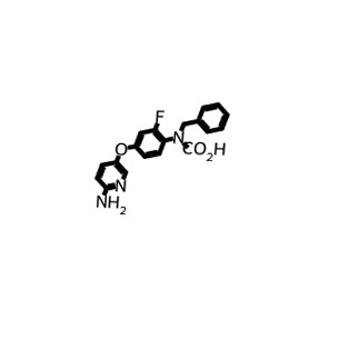 Nc1ccc(Oc2ccc(N(Cc3ccccc3)C(=O)O)c(F)c2)cn1